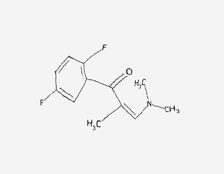 C/C(=C/N(C)C)C(=O)c1cc(F)ccc1F